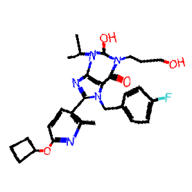 Cc1nc(OC2CCC2)ccc1-c1nc2c(n1Cc1ccc(F)cc1)C(=O)N(CCCO)C(O)N2C(C)C